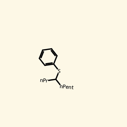 CCCCCC(CCC)Sc1ccccc1